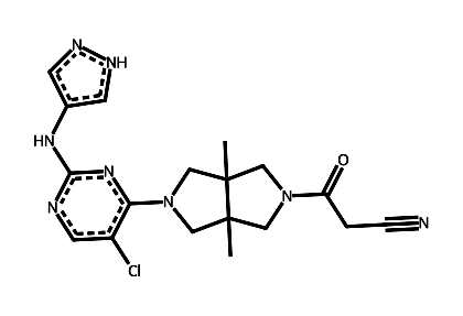 CC12CN(C(=O)CC#N)CC1(C)CN(c1nc(Nc3cn[nH]c3)ncc1Cl)C2